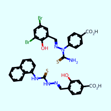 NC(=S)N(N=Cc1cc(Br)cc(Br)c1O)c1ccc(C(=O)O)cc1.O=C(O)c1ccc(C=NNC(=S)Nc2cccc3ccccc23)c(O)c1